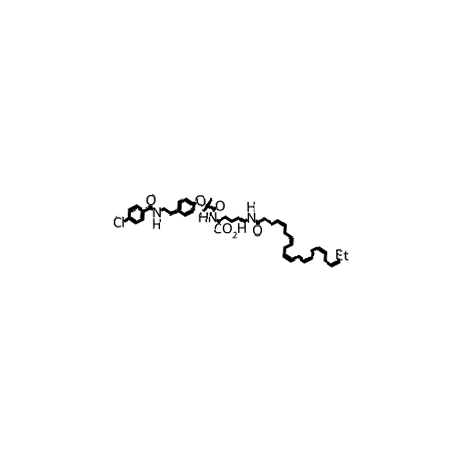 CC/C=C\C/C=C\C/C=C\C/C=C\C/C=C\C/C=C\CCC(=O)NCCCCC(NC(=O)C(C)(C)Oc1ccc(CCNC(=O)c2ccc(Cl)cc2)cc1)C(=O)O